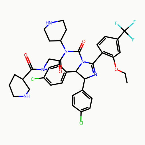 CCOc1cc(C(F)(F)F)ccc1C1=NC(c2ccc(Cl)cc2)C(c2ccc(Cl)cc2)N1C(=O)N(C(=O)CNC(=O)C1CCCNC1)C1CCNCC1